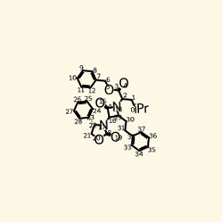 CC(C)CC(C(=O)OCc1ccccc1)N1C(=O)C(N2C(=O)OC[C@@H]2c2ccccc2)C1CCc1ccccc1